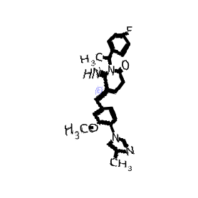 COc1cc(/C=C2\CCC(=O)N(C(C)c3ccc(F)cc3)C2=N)ccc1-n1cnc(C)c1